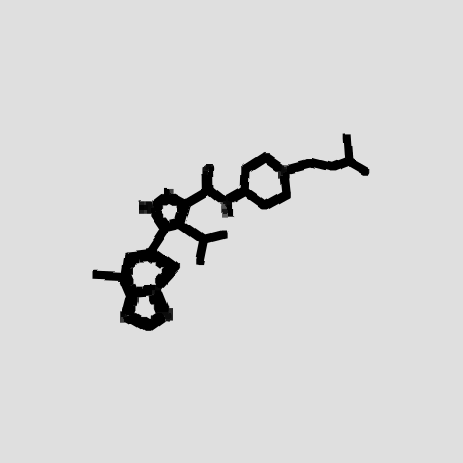 Cc1cc(-c2[nH]nc(C(=O)NC3CCN(CCC(C)C)CC3)c2C(C)C)cn2ncnc12